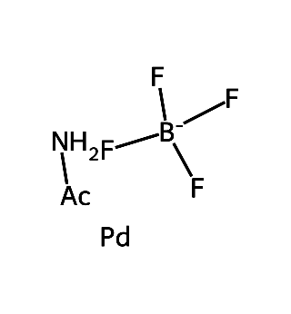 CC(N)=O.F[B-](F)(F)F.[Pd]